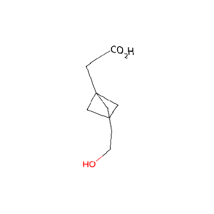 O=C(O)CC12CC(CO)(C1)C2